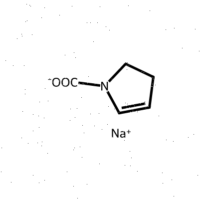 O=C([O-])N1C=CCC1.[Na+]